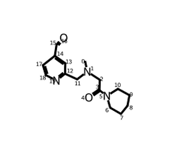 CN(CC(=O)N1CCCCC1)Cc1cc(C=O)ccn1